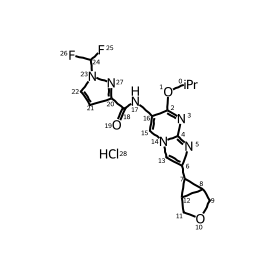 CC(C)Oc1nc2nc(C3C4COCC43)cn2cc1NC(=O)c1ccn(C(F)F)n1.Cl